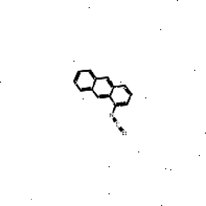 O=C=Nc1cccc2cc3ccccc3cc12